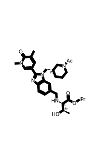 CC(=O)N1CCC[C@H](Cn2c(-c3cc(C)c(=O)n(C)c3)nc3ccc(CN[C@H](C(=O)OC(C)C)[C@@H](C)O)cc32)C1